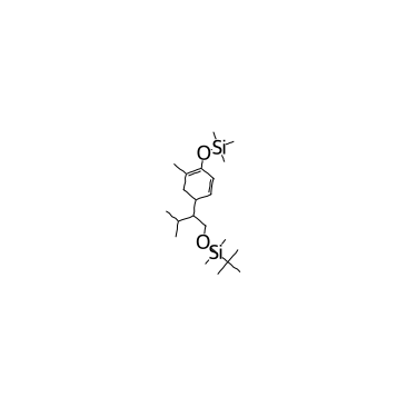 CC1=C(O[Si](C)(C)C)C=CC(C(CO[Si](C)(C)C(C)(C)C)C(C)C)C1